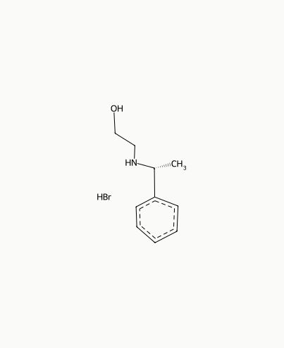 Br.C[C@@H](NCCO)c1ccccc1